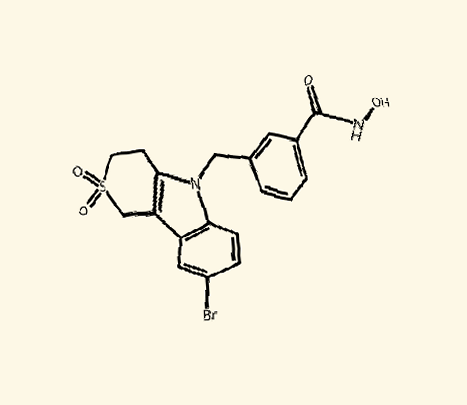 O=C(NO)c1cccc(Cn2c3c(c4cc(Br)ccc42)CS(=O)(=O)CC3)c1